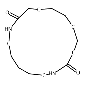 O=C1CCCCCCCC(=O)NCCCCCN1